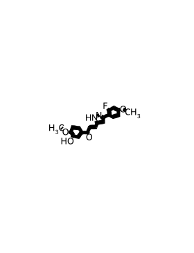 COc1ccc(-c2cc(C=CC(=O)c3ccc(OC)c(O)c3)[nH]n2)c(F)c1